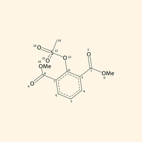 COC(=O)c1cccc(C(=O)OC)c1OS(C)(=O)=O